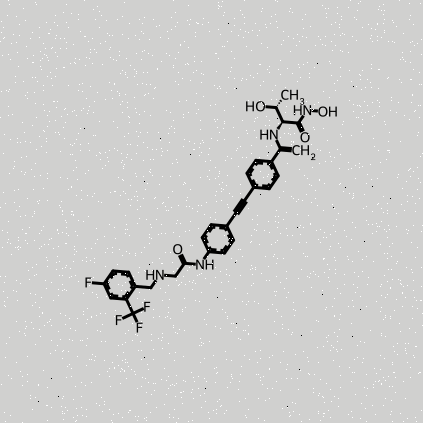 C=C(N[C@H](C(=O)NO)[C@@H](C)O)c1ccc(C#Cc2ccc(NC(=O)CNCc3ccc(F)cc3C(F)(F)F)cc2)cc1